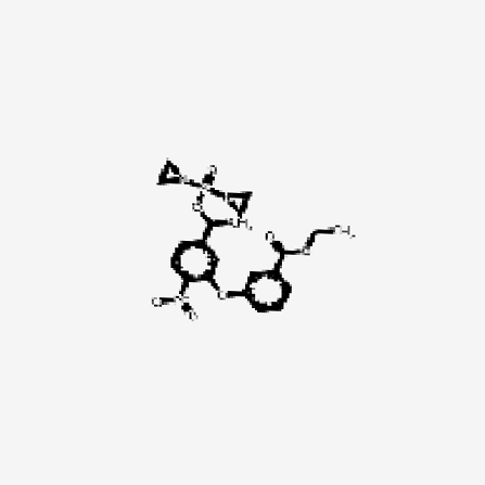 CCOC(=O)c1cccc(Oc2cc(C(C)OP(=O)(N3CC3)N3CC3)ccc2[N+](=O)[O-])c1